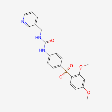 COc1ccc(S(=O)(=O)c2ccc(NC(=O)NCc3cccnc3)cc2)c(OC)c1